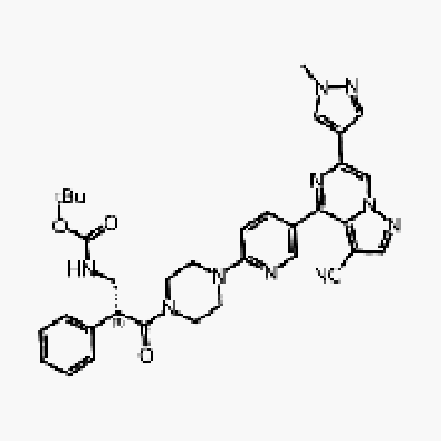 Cn1cc(-c2cn3ncc(C#N)c3c(-c3ccc(N4CCN(C(=O)[C@@H](CNC(=O)OC(C)(C)C)c5ccccc5)CC4)nc3)n2)cn1